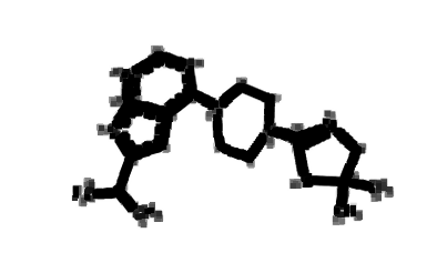 CC(c1cc2c(N3CCN(C4=NCC(C)(C)S4)CC3)ncnc2s1)C(F)(F)F